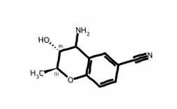 C[C@@H]1Oc2ccc(C#N)cc2C(N)[C@H]1O